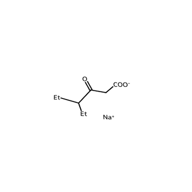 CCC(CC)C(=O)CC(=O)[O-].[Na+]